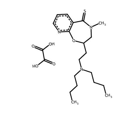 CCCCN(CCCC)CCC1CN(C)C(=S)c2cccnc2O1.O=C(O)C(=O)O